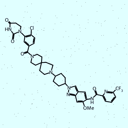 COc1cc2nn(C3CCC(N4CCC5(CCN(C(=O)c6ccc(Cl)c(N7CCC(=O)NC7=O)c6)CC5)CC4)CC3)cc2cc1NC(=O)c1cccc(C(F)(F)F)n1